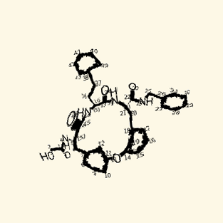 O=C(CO)N[C@H]1Cc2cccc(c2)Oc2cccc(c2)C[C@@H](C(=O)NCc2ccccc2)NC(=O)[C@H](CCc2ccccc2)NC1=O